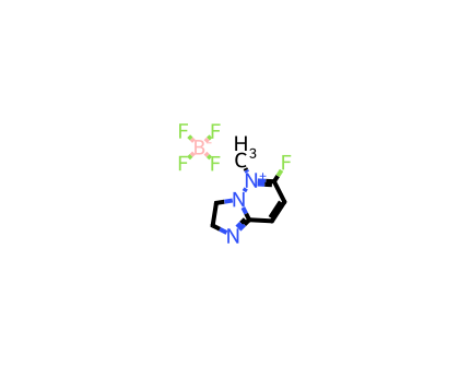 C[N+]1=C(F)C=CC2=NCCN21.F[B-](F)(F)F